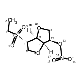 CCS(=O)(=O)[C@H]1CO[C@H]2[C@@H]1OC[C@H]2O[N+](=O)[O-]